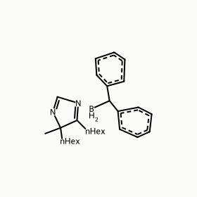 BC(c1ccccc1)c1ccccc1.CCCCCCC1=NC=NC1(C)CCCCCC